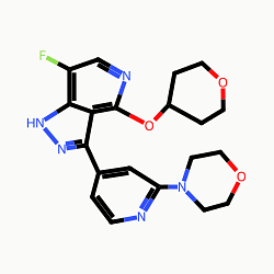 Fc1cnc(OC2CCOCC2)c2c(-c3ccnc(N4CCOCC4)c3)n[nH]c12